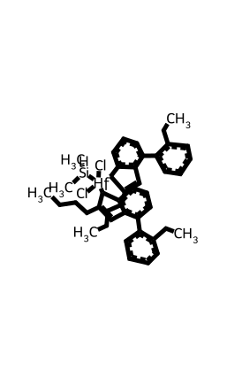 CCCCC1=Cc2c(-c3ccccc3CC)cccc2[CH]1[Hf]([Cl])([Cl])([CH]1C(CCCC)=Cc2c(-c3ccccc3CC)cccc21)[SiH](C)C